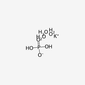 O.O.O.O=P([O-])(O)O.[K+]